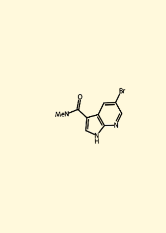 CNC(=O)c1c[nH]c2ncc(Br)cc12